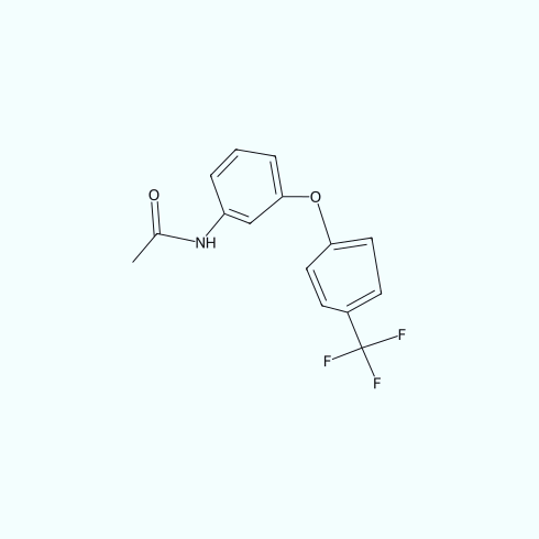 CC(=O)Nc1cccc(Oc2ccc(C(F)(F)F)cc2)c1